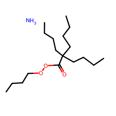 CCCCOOC(=O)C(CCCC)(CCCC)CCCC.N